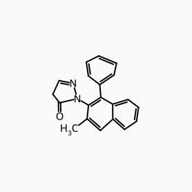 Cc1cc2ccccc2c(-c2ccccc2)c1N1N=CCC1=O